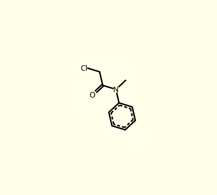 CN(C(=O)CCl)c1ccccc1